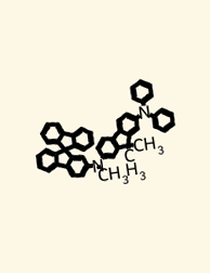 CN(c1ccc2c(c1)C(C)(C)c1cc(N(c3ccccc3)c3ccccc3)ccc1-2)c1ccc2c(c1)C1(c3ccccc3-c3ccccc31)c1ccccc1-2